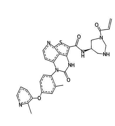 C=CC(=O)N1CNC[C@@H](NC(=O)c2sc3nccc4c3c2NC(=O)N4c2ccc(Oc3cccnc3C)cc2C)C1